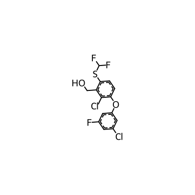 OCc1c(SC(F)F)ccc(Oc2cc(F)cc(Cl)c2)c1Cl